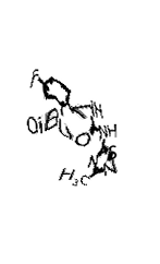 Cc1nsc(NC(=O)Nc2ccc(F)cc2OCC(C)C)n1